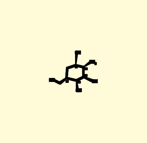 N[C@@H]1[C@@H](O)[C@H](O)[C@@H](CO)C[C@@H]1O